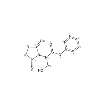 O=C(Oc1cccnc1)N(SO)N1C(=O)CCC1=O